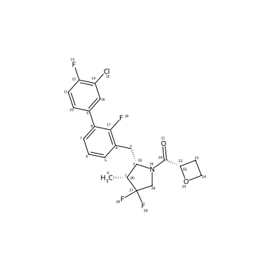 C[C@@H]1[C@H](Cc2cccc(-c3ccc(F)c(Cl)c3)c2F)N(C(=O)[C@@H]2CCO2)CC1(F)F